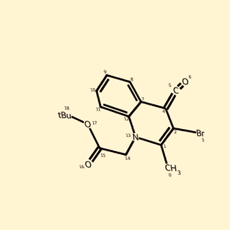 CC1=C(Br)C(=C=O)c2ccccc2N1CC(=O)OC(C)(C)C